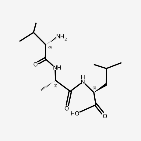 CC(C)C[C@H](NC(=O)[C@H](C)NC(=O)[C@@H](N)C(C)C)C(=O)O